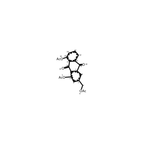 CC(=O)OCc1cc(OC(C)=O)c2c(c1)C(=O)c1cccc(OC(C)=O)c1C2=O